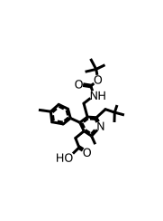 Cc1ccc(-c2c(CC(=O)O)c(C)nc(CC(C)(C)C)c2CNC(=O)OC(C)(C)C)cc1